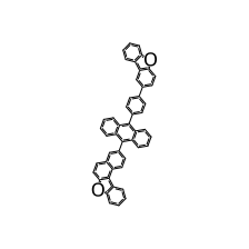 c1ccc2c(c1)oc1ccc(-c3ccc(-c4c5ccccc5c(-c5ccc6c(ccc7oc8ccccc8c76)c5)c5ccccc45)cc3)cc12